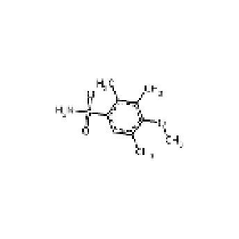 COc1c(C)cc(S(N)(=O)=O)c(C)c1C